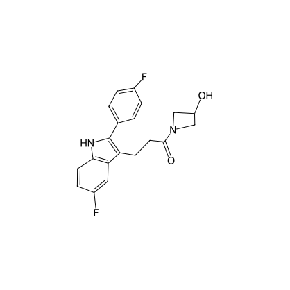 O=C(CCc1c(-c2ccc(F)cc2)[nH]c2ccc(F)cc12)N1CC(O)C1